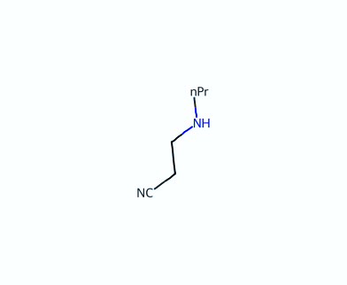 CCCNCCC#N